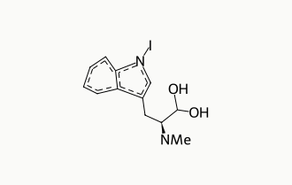 CN[C@@H](Cc1cn(I)c2ccccc12)C(O)O